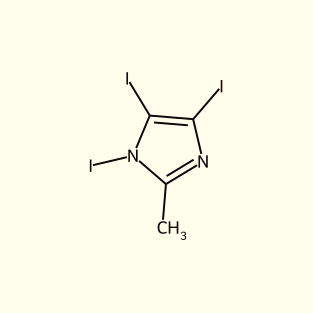 Cc1nc(I)c(I)n1I